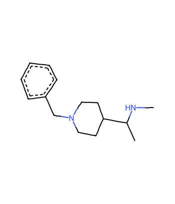 CNC(C)C1CCN(Cc2ccccc2)CC1